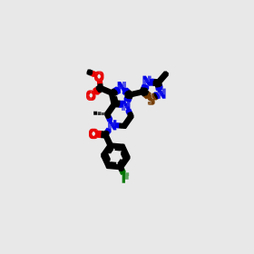 COC(=O)c1nc(-c2nc(C)ns2)n2c1[C@@H](C)N(C(=O)c1ccc(F)cc1)CC2